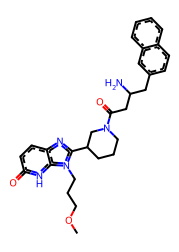 COCCCn1c(C2CCCN(C(=O)CC(N)Cc3ccc4ccccc4c3)C2)nc2ccc(=O)[nH]c21